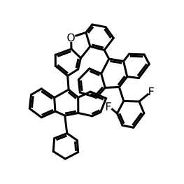 FC1=CC=CC(F)C1c1c2ccccc2c(-c2cccc3oc4ccc(-c5c6ccccc6c(C6=CCCC=C6)c6ccccc56)cc4c23)c2ccccc12